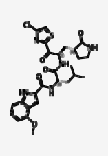 COc1cccc2[nH]c(C(=O)N[C@@H](CC(C)C)C(=O)N[C@H](C[C@H]3CCNC3=O)C(=O)c3nc(Cl)cs3)cc12